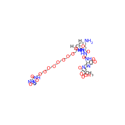 CC(C)[C@H](NC(=O)CCOCCOCCOCCOCCOCCOCCOCCOCCNC(=O)[C@H](CN)N1C(=O)C=CC1=O)C(=O)N[C@@H](CCCCN)C(=O)NCC(=O)NCc1c2c(nc3cc4c(cc13)OCO4)-c1cc3c(c(=O)n1C2)COC(=O)[C@@]3(C)O